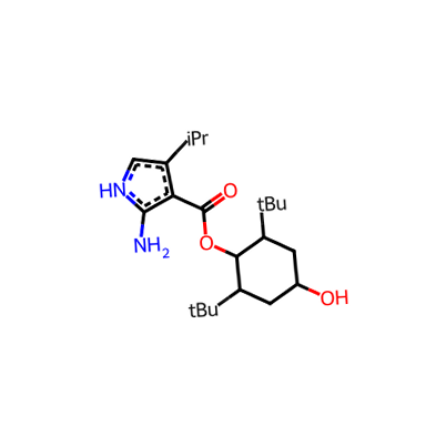 CC(C)c1c[nH]c(N)c1C(=O)OC1C(C(C)(C)C)CC(O)CC1C(C)(C)C